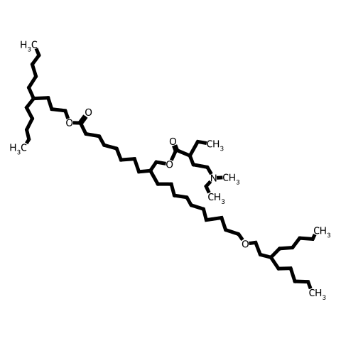 CCCCCC(CCCCC)CCCOC(=O)CCCCCCCC(CCCCCCCCCCOCCC(CCCCC)CCCCC)COC(=O)C(CC)CCN(C)CC